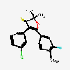 CSc1ccc(C2=C(c3cccc(Cl)c3)C(=S)C(C)(C)O2)cc1F